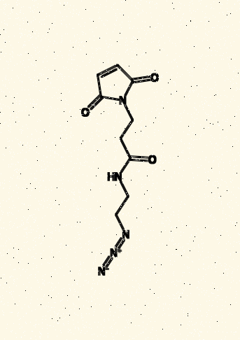 [N-]=[N+]=NCCNC(=O)CCN1C(=O)C=CC1=O